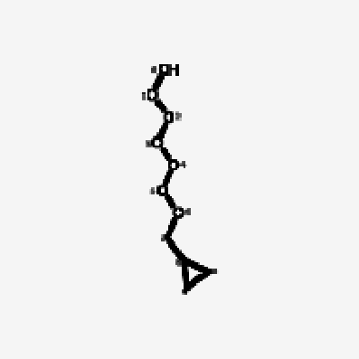 OOOOOOOCC1CC1